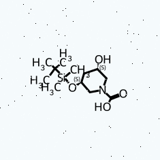 CC(C)(C)[Si](C)(C)O[C@H]1C[C@H](O)CN(C(=O)O)C1